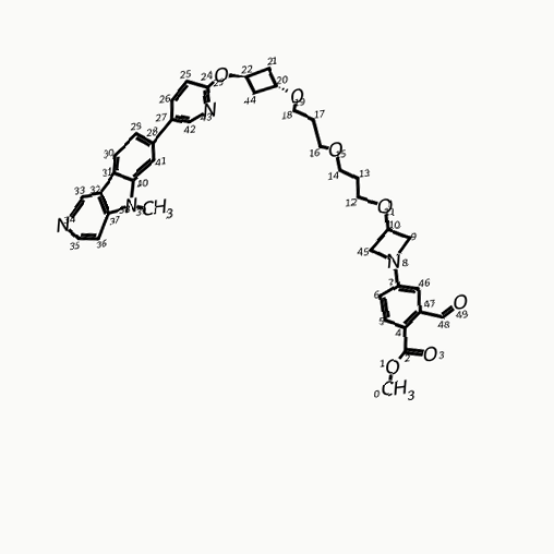 COC(=O)c1ccc(N2CC(OCCCOCCCO[C@H]3C[C@H](Oc4ccc(-c5ccc6c7cnccc7n(C)c6c5)cn4)C3)C2)cc1C=O